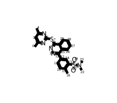 Cc1cc(C)nc(Sc2nnc(-c3ccc(C)c(S(=O)(=O)N(C)C)c3)c3ccccc23)n1